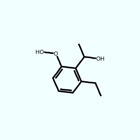 CCc1cccc(OO)c1C(C)O